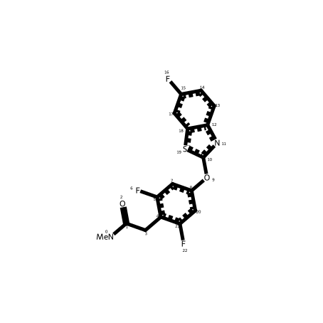 CNC(=O)Cc1c(F)cc(Oc2nc3ccc(F)cc3s2)cc1F